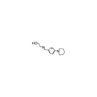 OCCN=Cc1ccc(N2CCCCC2)cc1